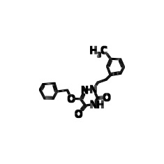 Cc1cccc(CCn2nc(OCc3ccccc3)c(=O)[nH]c2=O)c1